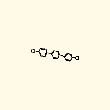 Clc1ccc(-c2ccc(-c3ccc(Cl)cc3)cc2)cc1